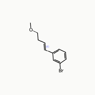 COCC/C=C/c1cccc(Br)c1